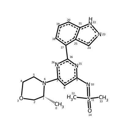 C[C@@H]1COCCN1c1cc(N=S(C)(C)=O)nc(-c2cccc3[nH]ncc23)n1